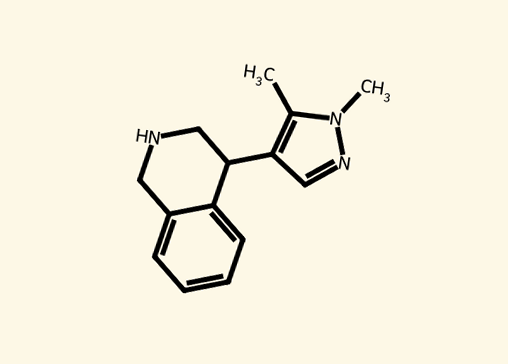 Cc1c(C2CNCc3ccccc32)cnn1C